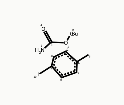 CC(C)(C)OC(N)=O.Cc1ccc(I)cc1